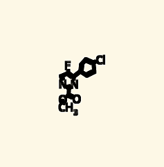 COC(=O)c1ncc(F)c(-c2ccc(Cl)cc2)n1